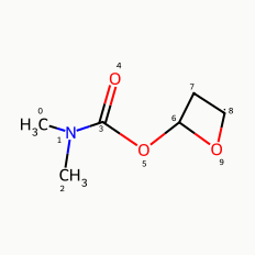 CN(C)C(=O)OC1C[CH]O1